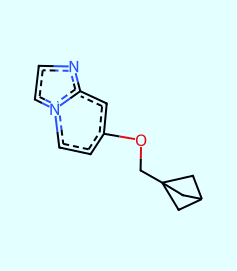 c1cn2ccc(OCC34CC(C3)C4)cc2n1